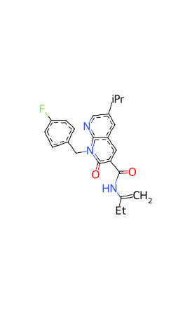 C=C(CC)NC(=O)c1cc2cc(C(C)C)cnc2n(Cc2ccc(F)cc2)c1=O